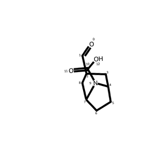 O=CC1CC2CCC(C1)N2C(=O)O